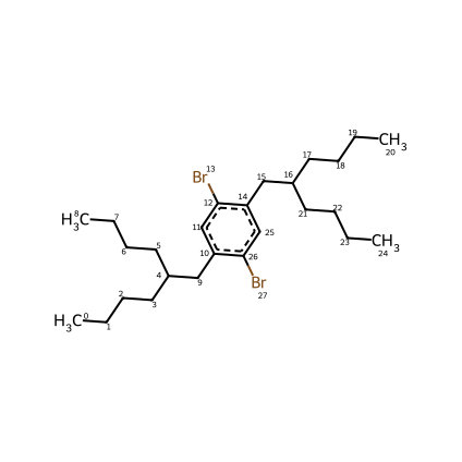 CCCCC(CCCC)Cc1cc(Br)c(CC(CCCC)CCCC)cc1Br